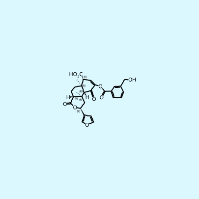 C[C@@]12CC[C@H]3C(=O)O[C@H](c4ccoc4)C[C@]3(C)[C@H]1C(=O)C(OC(=O)c1cccc(CO)c1)=C[C@H]2C(=O)O